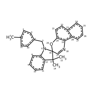 Cc1ccc(CN2c3ccccc3C(C)(C)C23C=Nc2c(ccc4ccccc24)O3)cc1